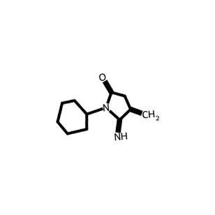 C=C1CC(=O)N(C2CCCCC2)C1=N